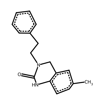 Cc1ccc2c(c1)CN(CCc1ccccc1)C(=O)N2